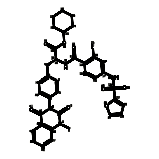 Cn1c(=O)n(-c2ccc(C[C@H](NC(=O)c3ncc(NS(=O)(=O)c4ccco4)cc3F)C(=O)OC3CCCCC3)cc2)c(=O)c2ccncc21